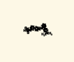 CN(C)c1ccc(-c2ccccc2CNCC2CCN(c3nccc(/C=C4\SC(=O)NC4=O)n3)CC2)cn1